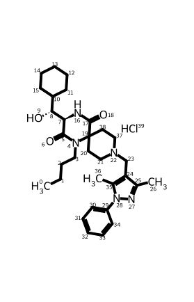 CCCCN1C(=O)[C@@H]([C@H](O)C2CCCCC2)NC(=O)C12CCN(Cc1c(C)nn(-c3ccccc3)c1C)CC2.Cl